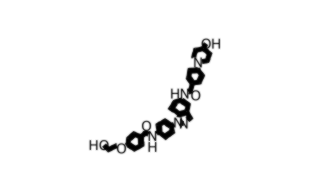 O=C(Nc1ccc(-n2ncc3cc(NC(=O)c4ccc(N5CCC(O)CC5)cc4)ccc32)cc1)c1ccc(OCCO)cc1